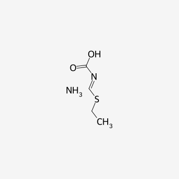 CCSC=NC(=O)O.N